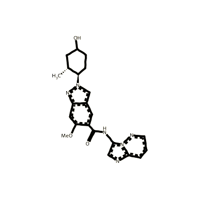 COc1cc2nn([C@@H]3CCC(O)C[C@H]3C)cc2cc1C(=O)Nc1cnc2cccnn12